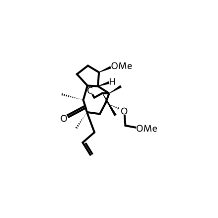 C=CC[C@]1(C)C[C@@H](OCOC)[C@]2(C)[C@H](C)CC[C@]3(CC[C@@H](OC)[C@@H]32)[C@@H](C)C1=O